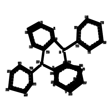 c1cc(P(c2ccccc2)c2ccccc2)c(P(c2ccccc2)c2ccccc2)cc#1